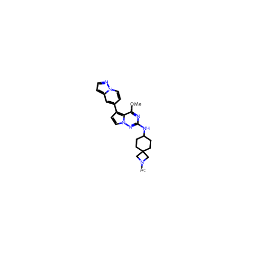 COc1nc(NC2CCC3(CC2)CN(C(C)=O)C3)nn2ccc(-c3ccn4nccc4c3)c12